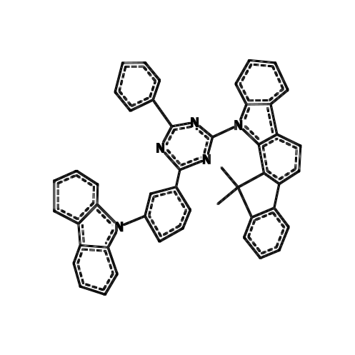 CC1(C)c2ccccc2-c2ccc3c4ccccc4n(-c4nc(-c5ccccc5)nc(-c5cccc(-n6c7ccccc7c7ccccc76)c5)n4)c3c21